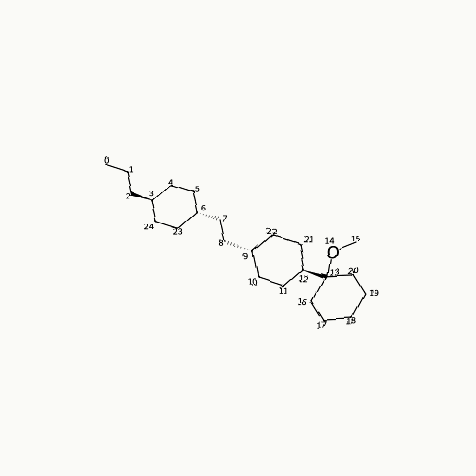 CCC[C@H]1CC[C@H](CC[C@H]2CC[C@H](C3(OC)CCCCC3)CC2)CC1